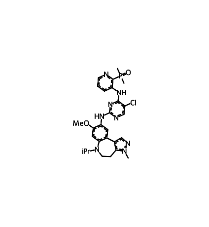 COc1cc2c(cc1Nc1ncc(Cl)c(Nc3cccnc3P(C)(C)=O)n1)-c1cnn(C)c1CCN2C(C)C